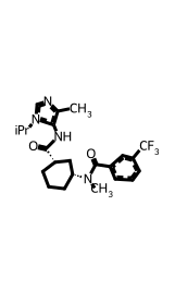 Cc1ncn(C(C)C)c1NC(=O)[C@H]1CCC[C@@H](N(C)C(=O)c2cccc(C(F)(F)F)c2)C1